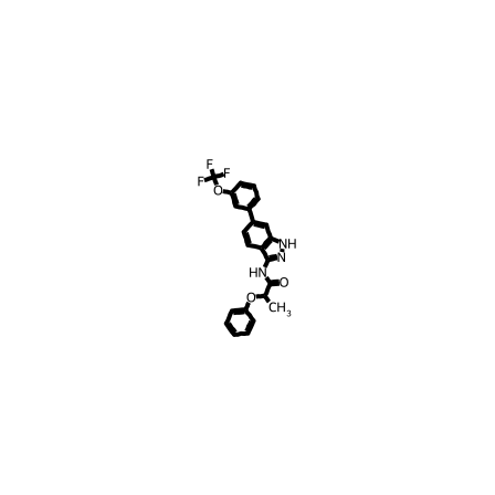 CC(Oc1ccccc1)C(=O)Nc1n[nH]c2cc(-c3cccc(OC(F)(F)F)c3)ccc12